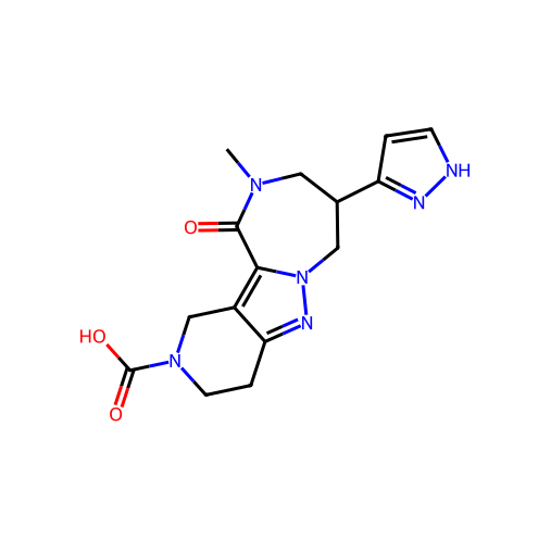 CN1CC(c2cc[nH]n2)Cn2nc3c(c2C1=O)CN(C(=O)O)CC3